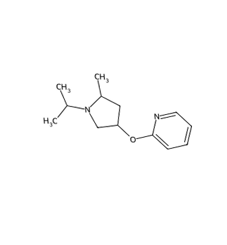 CC(C)N1CC(Oc2ccccn2)CC1C